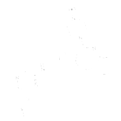 C=C/C=C\C(=C)N(C)CC(=O)NCC1C=CC2=C(C1)Sc1ccccc1N=C2N1CCN(CCC)CC1